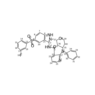 O=C(Nc1n[nH]c2ccc(S(=O)(=O)c3cccc(F)c3)cc12)c1cccnc1N(c1ccccc1)C1CCOCC1